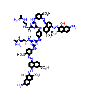 CCN(NCCNC(C)N)c1nc(Nc2ccc(Nc3nc(Nc4ccc(S(=O)(=O)O)c(/N=N/c5ccc(/N=N/c6c(S(=O)(=O)O)cc7ccc(N)cc7c6O)c6cc(S(=O)(=O)O)ccc56)c4)nc(N(CC)NCCNC(C)N)n3)cc2)nc(Nc2ccc(S(=O)(=O)O)c(/N=N/c3ccc(/N=N/c4c(S(=O)(=O)O)cc5ccc(N)cc5c4O)c4cc(S(=O)(=O)O)ccc34)c2)n1